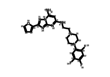 Nc1cc(NCCN2CCN(c3cc(F)c(F)cc3F)CC2)nc2nc(-c3ccco3)nn12